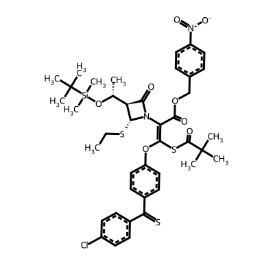 CCS[C@@H]1[C@@H]([C@@H](C)O[Si](C)(C)C(C)(C)C)C(=O)N1C(C(=O)OCc1ccc([N+](=O)[O-])cc1)=C(Oc1ccc(C(=S)c2ccc(Cl)cc2)cc1)SC(=O)C(C)(C)C